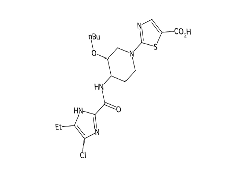 CCCCOC1CN(c2ncc(C(=O)O)s2)CCC1NC(=O)c1nc(Cl)c(CC)[nH]1